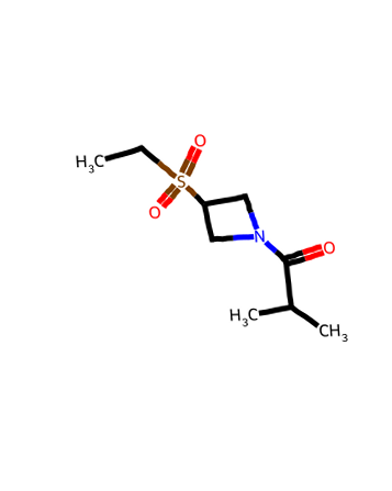 CCS(=O)(=O)C1CN(C(=O)C(C)C)C1